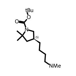 CNCCCC[C@@H]1CN(C(=O)OC(C)(C)C)C(C)(C)C1